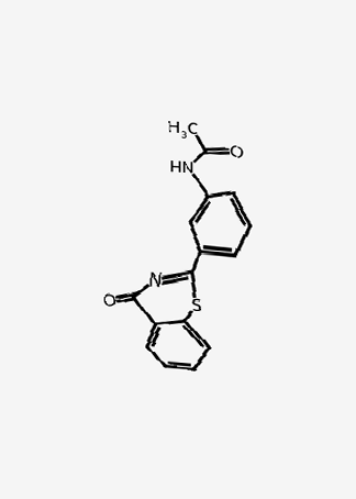 CC(=O)Nc1cccc(-c2nc(=O)c3ccccc3s2)c1